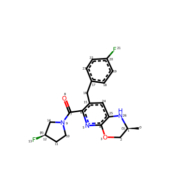 C[C@H]1COc2nc(C(=O)N3CC[C@@H](F)C3)c(Cc3ccc(F)cc3)cc2N1